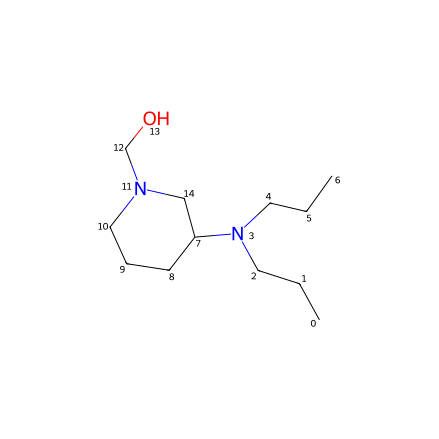 CCCN(CCC)C1CCCN(CO)C1